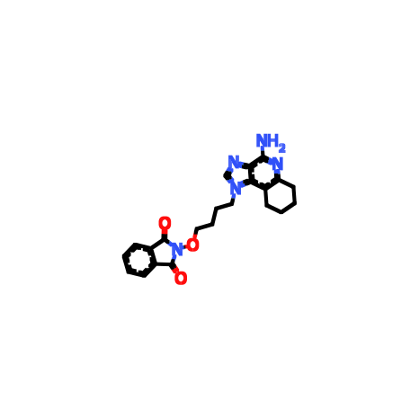 Nc1nc2c(c3c1ncn3CCCCON1C(=O)c3ccccc3C1=O)CCCC2